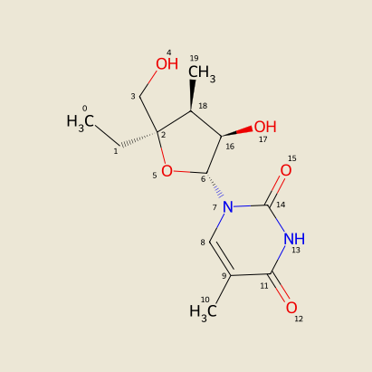 CC[C@@]1(CO)O[C@@H](n2cc(C)c(=O)[nH]c2=O)[C@H](O)[C@@H]1C